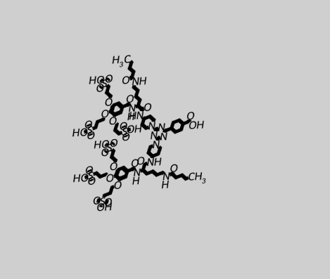 CCCCC(=O)NCCCCC(NC(=O)c1cc(OCCCS(=O)(=O)O)c(OCCCS(=O)(=O)O)c(OCCCS(=O)(=O)O)c1)C(=O)NC1CCN(c2nc(C3CCC(C(=O)O)CC3)nc(N3CCC(NC(=O)C(CCCCNC(=O)CCCC)NC(=O)c4cc(OCCCS(=O)(=O)O)c(OCCCS(=O)(=O)O)c(OCCCS(=O)(=O)O)c4)CC3)n2)CC1